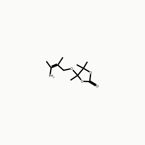 C/C(P)=C(\C)COC1(C)OC(=O)OC1(C)C